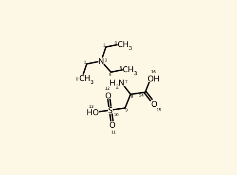 CCN(CC)CC.NC(CS(=O)(=O)O)C(=O)O